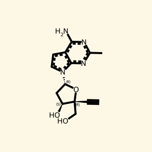 C#C[C@]1(CO)O[C@@H](n2ccc3c(N)nc(C)nc32)C[C@@H]1O